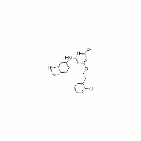 N#Cc1cc(OCCc2ccccc2Cl)cc(Nc2ccc3cc[nH]c3c2)n1